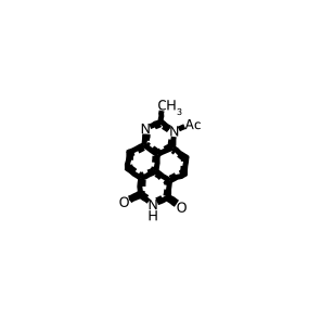 CC(=O)n1c(C)nc2ccc3c(=O)[nH]c(=O)c4ccc1c2c34